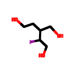 OCCC(CO)C(I)CO